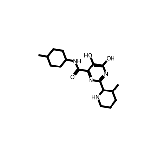 CC1CCC(NC(=O)c2nc(C3NCCCC3C)nc(O)c2O)CC1